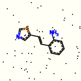 Nc1ccccc1C=Cc1cncs1